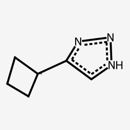 c1[nH]nnc1[C]1CCC1